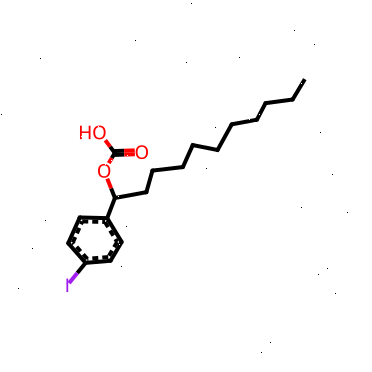 CCCCCCCCCCC(OC(=O)O)c1ccc(I)cc1